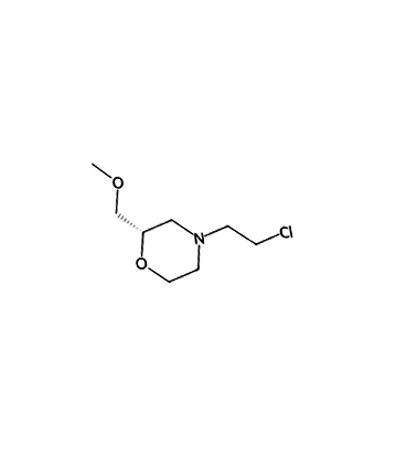 COC[C@@H]1CN(CCCl)CCO1